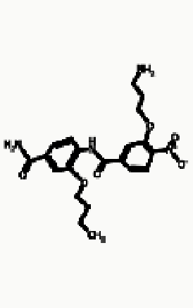 CCCCOc1cc(C(N)=O)ccc1NC(=O)c1ccc([N+](=O)[O-])c(OCCCN)c1